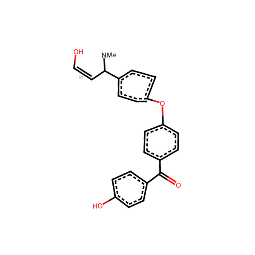 CNC(/C=C\O)c1ccc(Oc2ccc(C(=O)c3ccc(O)cc3)cc2)cc1